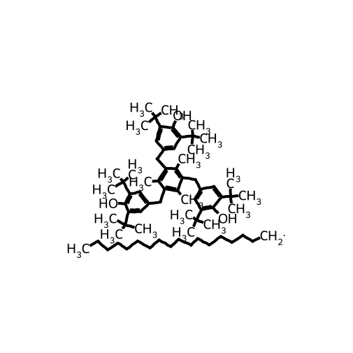 Cc1c(Cc2cc(C(C)(C)C)c(O)c(C(C)(C)C)c2)c(C)c(Cc2cc(C(C)(C)C)c(O)c(C(C)(C)C)c2)c(C)c1Cc1cc(C(C)(C)C)c(O)c(C(C)(C)C)c1.[CH2]CCCCCCCCCCCCCCCCC